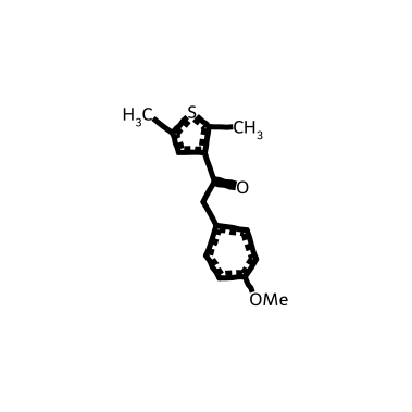 COc1ccc(CC(=O)c2cc(C)sc2C)cc1